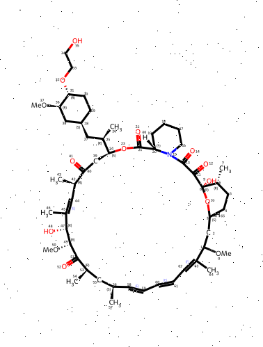 COC1C[C@@H]2CC[C@@H](C)[C@@](O)(O2)C(=O)C(=O)N2CCCC[C@H]2C(=O)O[C@H]([C@H](C)C[C@@H]2CC[C@@H](OCCO)[C@H](OC)C2)CC(=O)[C@H](C)/C=C(\C)[C@@H](O)[C@@H](OC)C(=O)[C@H](C)C[C@H](C)/C=C/C=C/C=C/1C